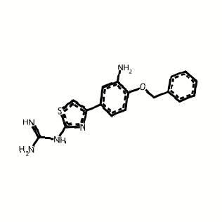 N=C(N)Nc1nc(-c2ccc(OCc3ccccc3)c(N)c2)cs1